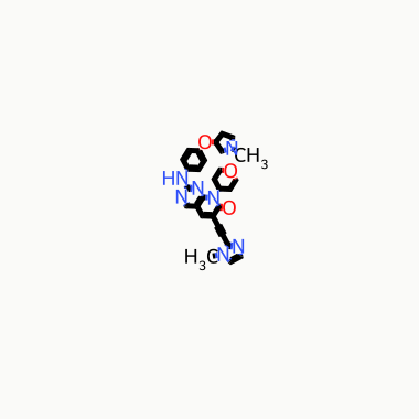 CN1CCC(Oc2ccc(Nc3ncc4cc(C#Cc5nccn5C)c(=O)n(C5CCOCC5)c4n3)cc2)C1